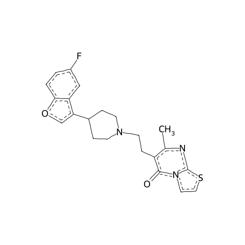 Cc1nc2sccn2c(=O)c1CCN1CCC(c2coc3ccc(F)cc23)CC1